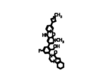 CN1CC(c2ccc(Nc3cc(-c4cc(F)cc(N5CCn6c(cc7c6CCCC7)C5=O)c4CO)cn(C)c3=O)nc2)C1